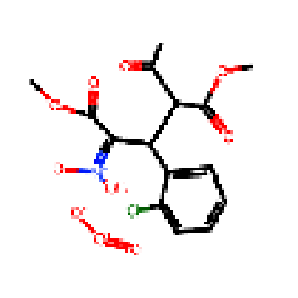 COC(=O)C(C(c1ccccc1Cl)C(C(C)=O)C(=O)OC)=[N+]([O-])O.O=[O+][O-]